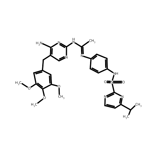 COc1cc(Cc2cnc(NC(C)=Nc3ccc(NS(=O)(=O)c4nccc(C(C)C)n4)cc3)nc2N)cc(OC)c1OC